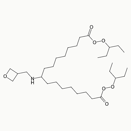 CCC(CC)OOC(=O)CCCCCCCC(CCCCCCCC(=O)OOC(CC)CC)NCC1COC1